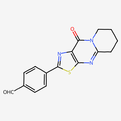 O=Cc1ccc(-c2nc3c(=O)n4c(nc3s2)CCCC4)cc1